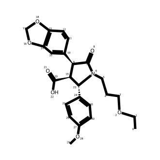 CCOCCCN1C(=O)[C@H](c2ccc3c(c2)OCO3)[C@H](C(=O)O)[C@H]1c1ccc(OC)cc1